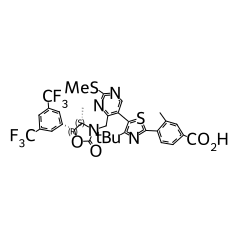 CSc1ncc(-c2sc(-c3ccc(C(=O)O)cc3C)nc2C(C)(C)C)c(CN2C(=O)O[C@H](c3cc(C(F)(F)F)cc(C(F)(F)F)c3)[C@@H]2C)n1